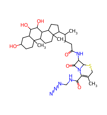 CC1=C(C(=O)NCN=[N+]=[N-])N2C(=O)C(NC(=O)CCC(C)C3CCC4C5C(O)C(O)C6CC(O)CCC6(C)C5CCC34C)C2SC1